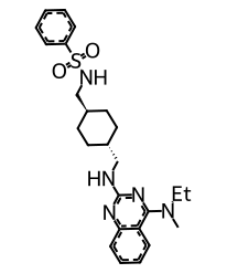 CCN(C)c1nc(NC[C@H]2CC[C@H](CNS(=O)(=O)c3ccccc3)CC2)nc2ccccc12